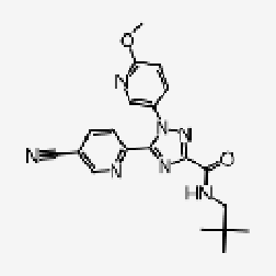 COc1ccc(-n2nc(C(=O)NCC(C)(C)C)nc2-c2ccc(C#N)cn2)cn1